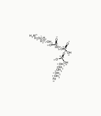 O.O.O.O.O.O.O.O.O.O=[N+]([O-])O.O=[N+]([O-])O.O=[N+]([O-])O.[AlH3].[Fe]